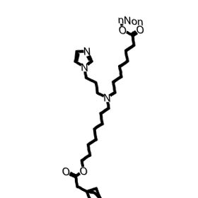 CCCCCCCCCOC(=O)CCCCCCCN(CCCCCCCCOC(=O)CC12CC(C1)C2)CCCn1ccnc1